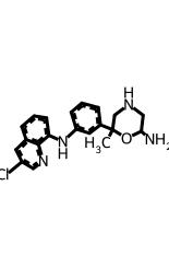 CC1(c2cccc(Nc3cccc4cc(Cl)cnc34)c2)CNCC(N)O1